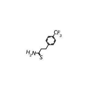 NC(=S)CCc1ccc(C(F)(F)F)cc1